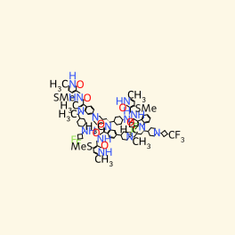 CSc1cc(C)[nH]c(=O)c1CNC(=O)c1c(C)n([C@H](C)C2CCC(NC3CC(F)(F)C3)CC2)c2cc(N3CCOC(C[C@H](C4CCC(NC5CC(F)(F)C5)CC4)n4c(C)c(C(=O)NCc5c(SC)cc(C)[nH]c5=O)c5ccc(C6CCN(C(C)CC[C@H](C7CCN(C8CC(C(F)(F)F)C8)CC7)n7c(C)c(C(=O)NCc8c(SC)cc(C)[nH]c8=O)c8ccccc87)CC6)cc54)C3)ccc12